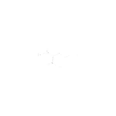 CC(C)(C)NC(CCC(=O)O)C(=O)C(C)(C)C